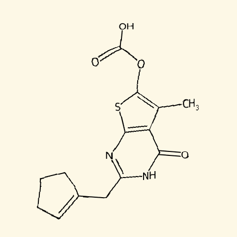 Cc1c(OC(=O)O)sc2nc(CC3=CCCC3)[nH]c(=O)c12